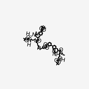 CCCN(CCCNC(=O)OC(C)(C)C)C(=O)C1=Cc2ccc(-c3cccc(S(=O)(=O)N4CC(CN(C)CCCCN(CCCNC(=O)OC(C)(C)C)C(=O)C5=Cc6ccc(B7OC(C)(C)C(C)(C)O7)cc6N=C(N)C5)C4)c3)cc2N=C(N)C1